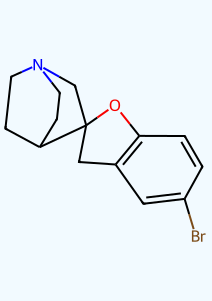 Brc1ccc2c(c1)CC1(CN3CCC1CC3)O2